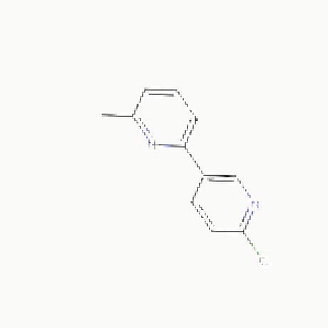 Cc1cccc(-c2ccc(Cl)nc2)n1